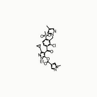 CCn1nc(C2CC2)c(C(=O)c2ccc(S(C)(=O)=O)c(Cn3cc(C)cn3)c2Cl)c1OC(=O)c1cnn(C)c1